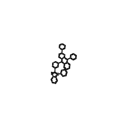 c1ccc(-c2ccc3c(-c4cccc(-c5nc6ccccc6n5-c5ccccc5)c4)c4ccccc4c(-c4ccccc4)c3c2)cc1